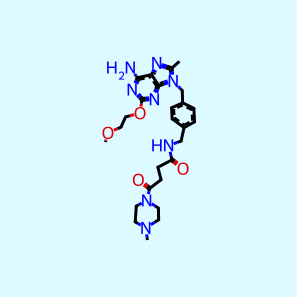 COCCOc1nc(N)c2nc(C)n(Cc3ccc(CNC(=O)CCC(=O)N4CCN(C)CC4)cc3)c2n1